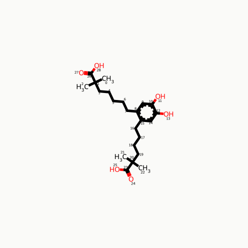 CC(C)(CCCCCc1cc(O)c(O)cc1CCCCC(C)(C)C(=O)O)C(=O)O